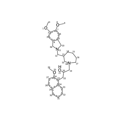 COc1cc2c(cc1OC)CN(CC1CCCCN(CC(O)Cc3c(OC)ccc4ccccc34)C1)C2